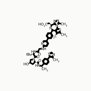 Cc1ncsc1-c1ccc([C@H](C)NC(=O)[C@@H]2C[C@@H](O)CN2C(=O)[C@@H](NC(=O)CNc2ccc(-c3ccc(C4=N[C@@H](CC(=O)O)c5nnc(C)n5-c5sc(C)c(C)c54)cc3)cn2)C(C)(C)C)cc1